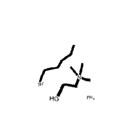 CCCCCS.C[N+](C)(C)CCO.P